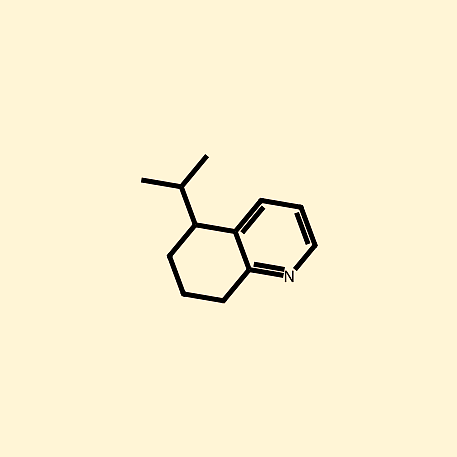 CC(C)C1CCCc2ncccc21